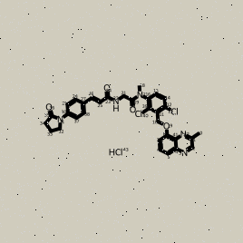 Cc1cnc2cccc(OCc3c(Cl)ccc(N(C)C(=O)CNC(=O)C=Cc4ccc(N5CCCC5=O)cc4)c3Cl)c2n1.Cl